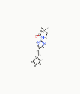 CC1(C)CCN(c2ncc(C#Cc3ccccc3)cn2)C(=O)C1